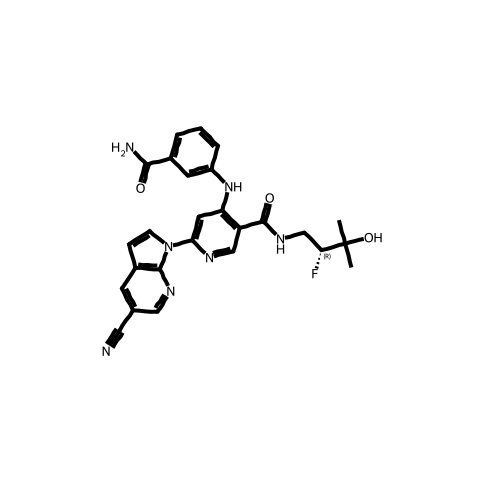 CC(C)(O)[C@H](F)CNC(=O)c1cnc(-n2ccc3cc(C#N)cnc32)cc1Nc1cccc(C(N)=O)c1